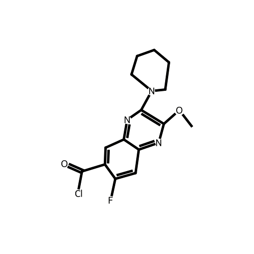 COc1nc2cc(F)c(C(=O)Cl)cc2nc1N1CCCCC1